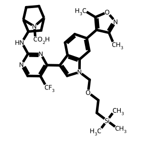 Cc1noc(C)c1-c1ccc2c(-c3nc(NC4CC5CCC4N5C(=O)O)ncc3C(F)(F)F)cn(COCC[Si](C)(C)C)c2c1